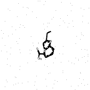 CCc1cn2c(C(=O)O)cccc2n1